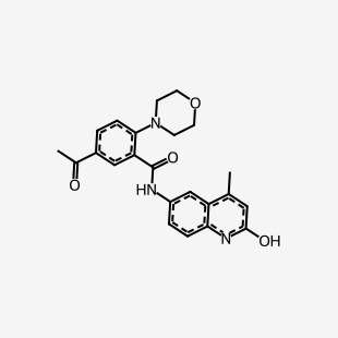 CC(=O)c1ccc(N2CCOCC2)c(C(=O)Nc2ccc3nc(O)cc(C)c3c2)c1